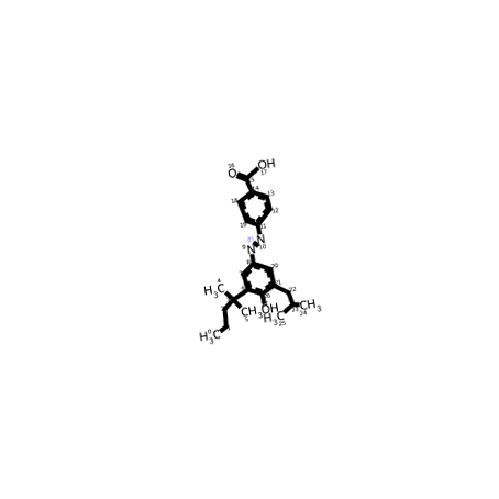 CCCC(C)(C)c1cc(/N=N/c2ccc(C(=O)O)cc2)cc(CC(C)C)c1O